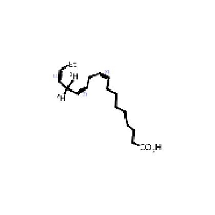 [2H]C([2H])(/C=C\CC)/C=C\C/C=C\CCCCCCCC(=O)O